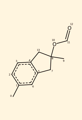 Cc1ccc2c(c1)CC(C)(OC=O)C2